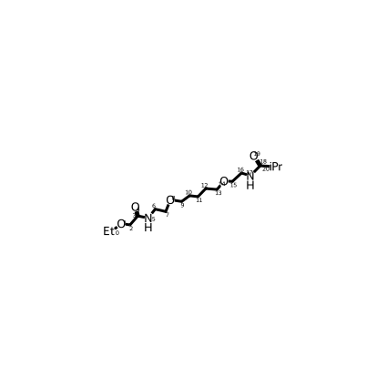 CCOCC(=O)NCCOCCCCCOCCNC(=O)C(C)C